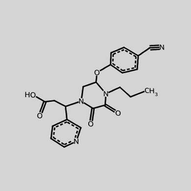 CCCN1C(=O)C(=O)N(C(CC(=O)O)c2cccnc2)CC1Oc1ccc(C#N)cc1